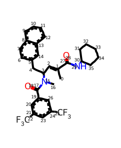 CC(=CC(Cc1ccc2ccccc2c1)N(C)C(=O)c1cc(C(F)(F)F)cc(C(F)(F)F)c1)C(=O)NC1CCCCC1